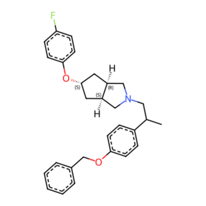 CC(CN1C[C@H]2C[C@H](Oc3ccc(F)cc3)C[C@H]2C1)c1ccc(OCc2ccccc2)cc1